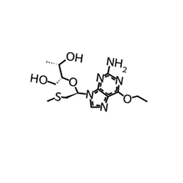 CCOc1nc(N)nc2c1ncn2[C@@H](CSC)O[C@H](CO)[C@H](C)O